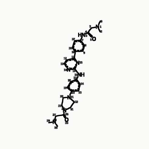 CN(C)CC(=O)Nc1ccc(-c2ccnc(Nc3ccc(N4CCN(C(=O)CN(C)C)CC4)cc3)n2)cc1